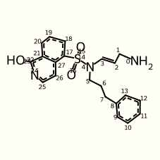 NCC=CN(CCCc1ccccc1)S(=O)(=O)c1cccc2c(O)nccc12